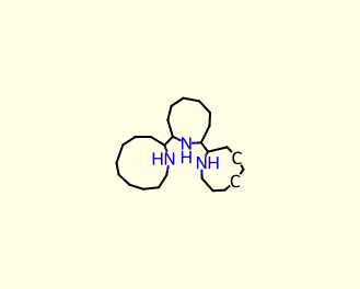 C1CCCCNC(C2CCCCCCC(C3CCCCCCCN3)N2)CCCC1